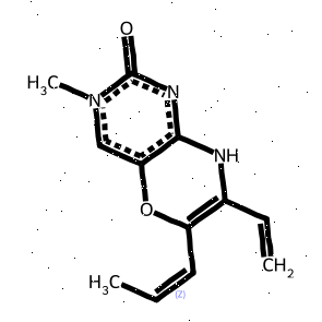 C=CC1=C(/C=C\C)Oc2cn(C)c(=O)nc2N1